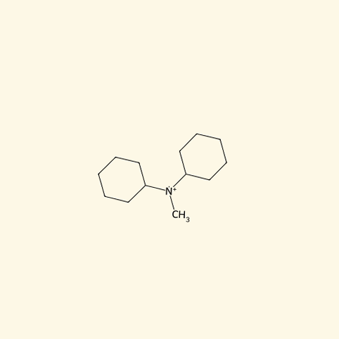 C[N+](C1CCCCC1)C1CCCCC1